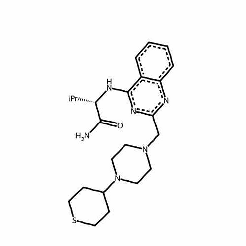 CC(C)[C@H](Nc1nc(CN2CCN(C3CCSCC3)CC2)nc2ccccc12)C(N)=O